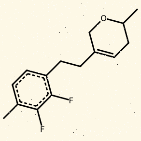 Cc1ccc(CCC2=CCC(C)OC2)c(F)c1F